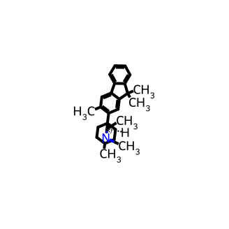 Cc1cc2c(cc1C13CCC(C)(CC1)N(C)[C@@H]3C)C(C)(C)c1ccccc1-2